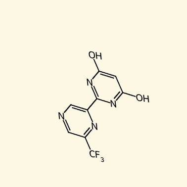 Oc1cc(O)nc(-c2cncc(C(F)(F)F)n2)n1